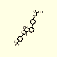 Cc1oc(-c2ccc(C(F)(F)F)cc2)nc1-c1cccc(-c2ccc(OCC(=O)O)cc2)c1